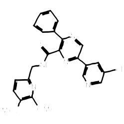 COc1ccc(CNC(=O)c2nc(-c3cncc(Cl)c3)cnc2-c2ccccc2)nc1OC